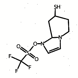 O=S(=O)(ON1C=CN2CCC(S)CC21)C(F)(F)F